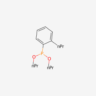 CCCOP(OCCC)c1ccccc1CCC